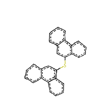 c1ccc2c(c1)cc(Sc1cc3ccccc3c3ccccc13)c1ccccc12